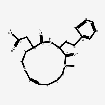 CN1CCCC=CCCCC(CC(=O)O)C(=O)NC(CCc2ccccc2)C1=O